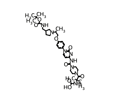 CC(COc1ccc(-n2ccc(NC(=O)N3CCN(C(=O)C(C)(C)NC(=O)O)CC3)nc2=O)cc1)N1CCC(CNC(=O)OC(C)(C)C)C1